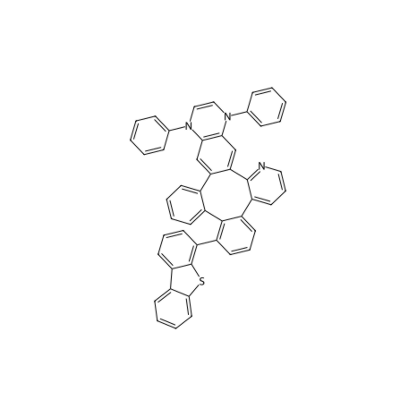 c1ccc(-n2ccn(-c3ccccc3)c3cc4c(cc32)c2ccccc2c2c(-c3cccc5c3sc3ccccc35)cccc2c2cccnc42)cc1